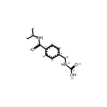 CC(C)NC(=O)c1ccc(CNC(=O)O)cc1